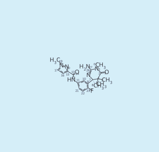 CN1C(=O)C(C)(C)[C@@](C)(c2cc(NC(=O)c3ccn(C)n3)ccc2F)N=C1N